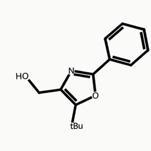 CC(C)(C)c1oc(-c2ccccc2)nc1CO